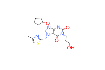 Cc1csc(CN2CN(OC3CCCC3)c3c2c(=O)n(CCCO)c(=O)n3C)n1